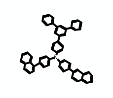 c1ccc(-c2cc(-c3ccccc3)cc(-c3ccc(N(c4ccc(-c5ccc6ccccc6c5)cc4)c4ccc(-c5cccc6ccccc56)cc4)cc3)c2)cc1